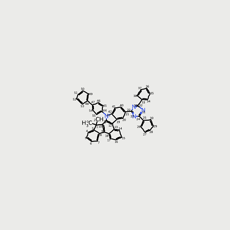 CC1(C)c2ccccc2-c2c1c1c(c3ccccc23)c2cc(-c3nc(-c4ccccc4)nc(-c4ccccc4)n3)ccc2n1-c1ccc(-c2ccccc2)cc1